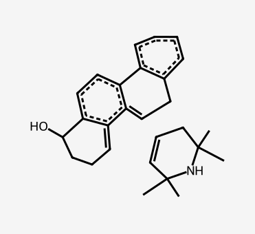 CC1(C)C=CCC(C)(C)N1.OC1CCC=c2c1ccc1c2=CCc2ccccc2-1